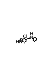 Clc1c(C#CNc2ccccc2)cnc2[nH]ccc12